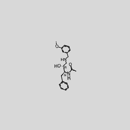 COc1cccc(CNC[C@@H](O)[C@H](Cc2ccccc2)NC(C)=O)c1